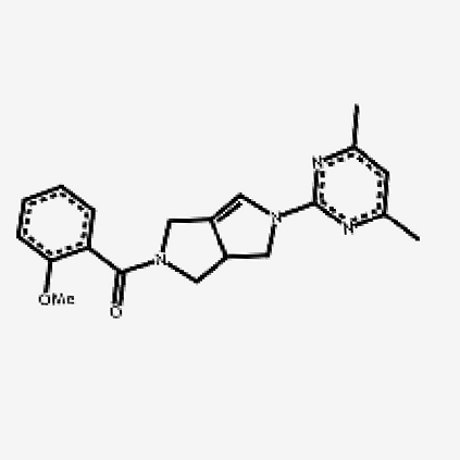 COc1ccccc1C(=O)N1CC2=CN(c3nc(C)cc(C)n3)CC2C1